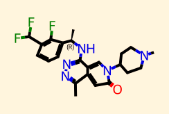 Cc1nnc(N[C@H](C)c2cccc(C(F)F)c2F)c2cn(C3CCN(C)CC3)c(=O)cc12